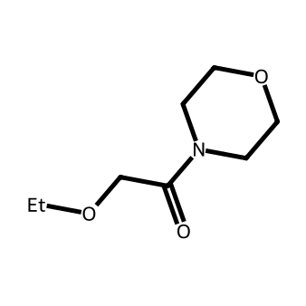 [CH2]COCC(=O)N1CCOCC1